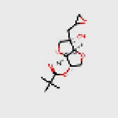 CC(C)(C)C(=O)O[C@@H]1CO[C@H]2[C@@H]1OC[C@@]2(O)CC1CO1